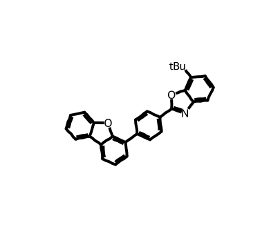 CC(C)(C)c1cccc2nc(-c3ccc(-c4cccc5c4oc4ccccc45)cc3)oc12